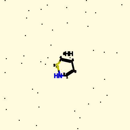 C1=CNSC=C1.[HH]